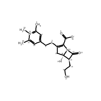 Cc1cc(CSC2=C(C(=O)[O-])N3C(=O)[C@@H](CCO)[C@H]3C2)cc(C)[n+]1C